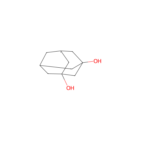 OC12C[C]3CC(C1)CC(O)(C3)C2